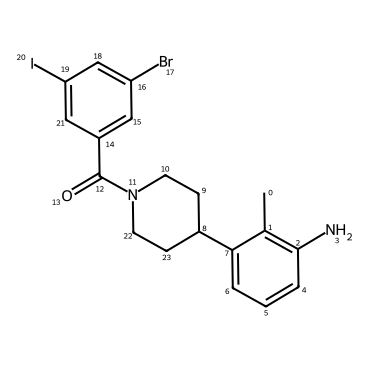 Cc1c(N)cccc1C1CCN(C(=O)c2cc(Br)cc(I)c2)CC1